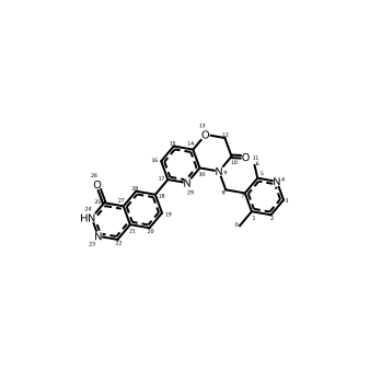 Cc1ccnc(C)c1CN1C(=O)COc2ccc(-c3ccc4cn[nH]c(=O)c4c3)nc21